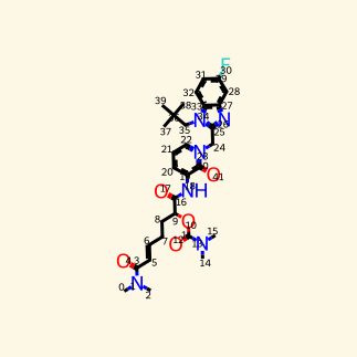 CN(C)C(=O)C=CCCC(OC(=O)N(C)C)C(=O)Nc1cccn(Cc2nc3cc(F)ccc3n2CC(C)(C)C)c1=O